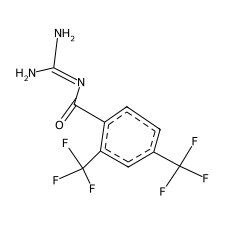 NC(N)=NC(=O)c1ccc(C(F)(F)F)cc1C(F)(F)F